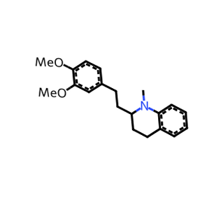 COc1ccc(CCC2CCc3ccccc3N2C)cc1OC